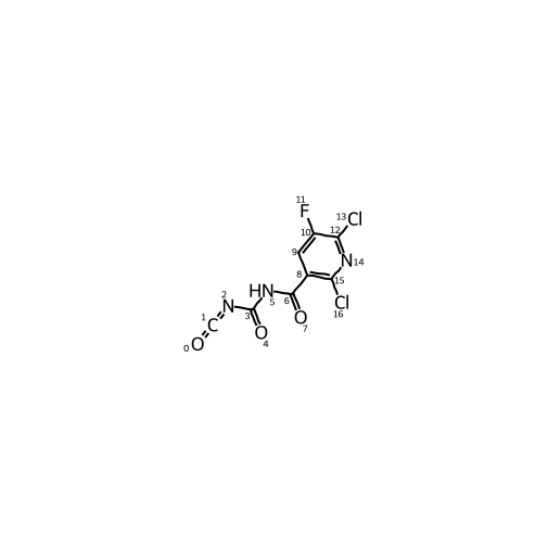 O=C=NC(=O)NC(=O)c1cc(F)c(Cl)nc1Cl